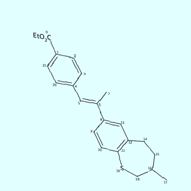 CCOC(=O)c1ccc(C=C(C)c2ccc3c(c2)CCC(C)CS3)cc1